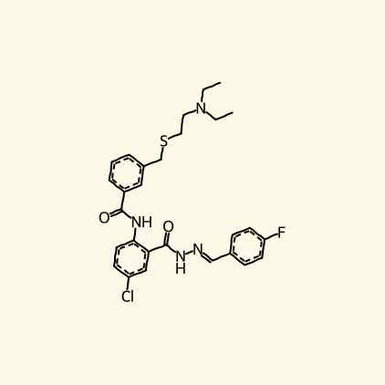 CCN(CC)CCSCc1cccc(C(=O)Nc2ccc(Cl)cc2C(=O)NN=Cc2ccc(F)cc2)c1